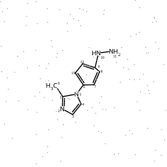 Cc1nccn1-c1ccc(NN)cc1